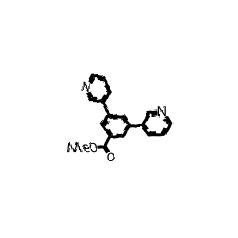 COC(=O)c1cc(-c2cccnc2)cc(-c2cccnc2)c1